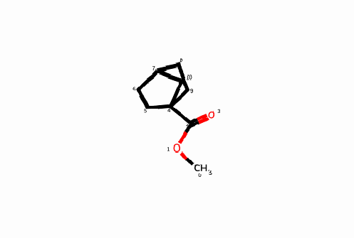 COC(=O)C12CCC(CC1)C2